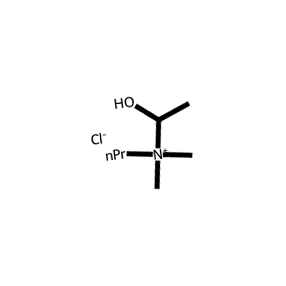 CCC[N+](C)(C)C(C)O.[Cl-]